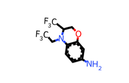 Nc1ccc2c(c1)OCC(C(F)(F)F)N2CC(F)(F)F